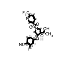 C[C@@H](O)[C@]1(O)CN(S(=O)(=O)c2ccc(C(F)(F)F)nc2)C[C@@H]1Oc1ccc(C#N)c(F)c1